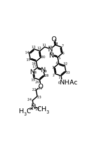 CC(=O)Nc1ccc(-c2ccc(=O)n(Cc3cccc(-c4ncc(OCCCN(C)C)cn4)c3)n2)cc1